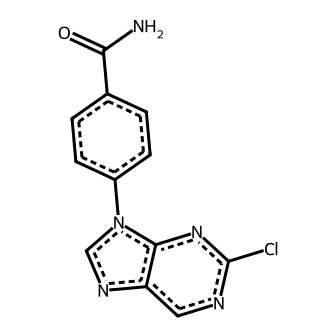 NC(=O)c1ccc(-n2cnc3cnc(Cl)nc32)cc1